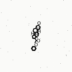 C[C@]12C=CC(=O)C=C1CC[C@@H]1[C@@H]2CC[C@]2(C)C(C(=O)COc3ccccc3)=CC[C@@H]12